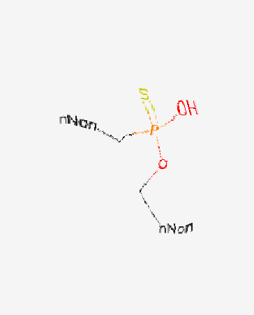 CCCCCCCCCCOP(O)(=S)CCCCCCCCCC